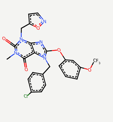 Cn1c(=O)c2c(nc(Oc3cccc(OC(F)(F)F)c3)n2Cc2ccc(Cl)cc2)n(Cc2ccno2)c1=O